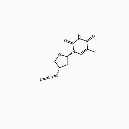 Cc1cn([C@H]2C[C@H](N=[N+]=[N-])CO2)c(=O)[nH]c1=O